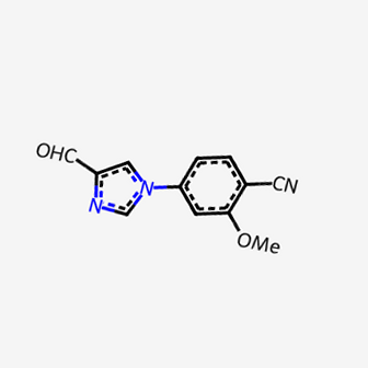 COc1cc(-n2cnc(C=O)c2)ccc1C#N